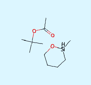 CC(=O)OC(C)(C)C.C[SiH]1CCCCO1